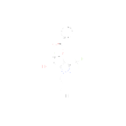 CCCCn1nc(C(F)(F)F)c2c1[C@H](O)C(F)(F)[C@H]2OC(=O)c1ccccc1